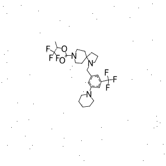 CC(OC(=O)N1CCC2(CCCN2Cc2cc(N3CCCCC3)cc(C(F)(F)F)c2)CC1)C(F)(F)F